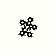 CC1(C)c2ccccc2-c2c1c1c(c3ccccc23)c2ccccc2n1-c1cc2ccccc2c(-c2ccccc2)n1